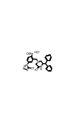 COc1ccc(-n2nnnc2C(F)(F)F)cc1CN1CC(=O)NC(C(c2ccccc2)c2ccccc2)C1.Cl